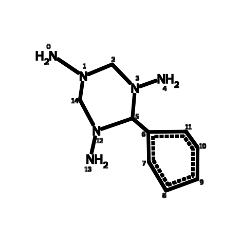 NN1CN(N)C(c2ccccc2)N(N)C1